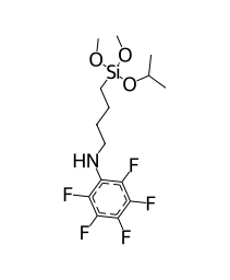 CO[Si](CCCCNc1c(F)c(F)c(F)c(F)c1F)(OC)OC(C)C